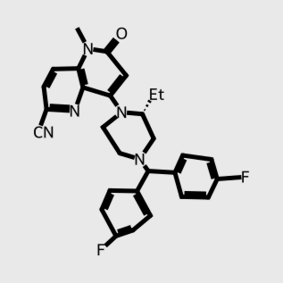 CC[C@@H]1CN(C(c2ccc(F)cc2)c2ccc(F)cc2)CCN1c1cc(=O)n(C)c2ccc(C#N)nc12